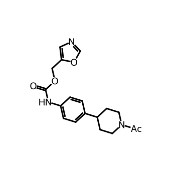 CC(=O)N1CCC(c2ccc(NC(=O)OCc3cnco3)cc2)CC1